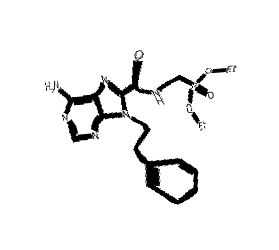 CCOP(=O)(CNC(=O)c1nc2c(N)ncnc2n1CCc1ccccc1)OCC